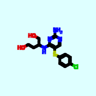 Nc1ncc(Sc2ccc(Cl)cc2)c(NC(CO)CCO)n1